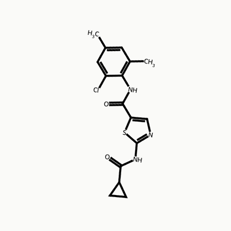 Cc1cc(C)c(NC(=O)c2cnc(NC(=O)C3CC3)s2)c(Cl)c1